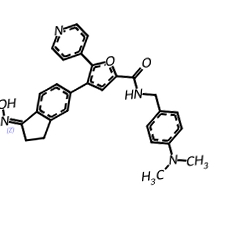 CN(C)c1ccc(CNC(=O)c2cc(-c3ccc4c(c3)CC/C4=N/O)c(-c3ccncc3)o2)cc1